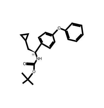 CC(C)(C)OC(=O)N[C@@H](CC1CC1)c1ccc(Oc2ccccc2)cc1